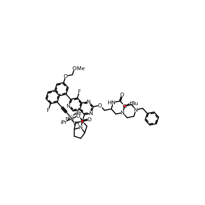 COCOc1cc(-c2ncc3c(N4CC5CCC(C4)N5C(=O)OC(C)(C)C)nc(OCC(CN4CCN(Cc5ccccc5)CC4)NC(=O)OC(C)(C)C)nc3c2F)c2c(C#C[Si](C(C)C)(C(C)C)C(C)C)c(F)ccc2c1